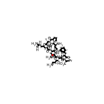 CSCC[C@H](N)C(=O)N1CCC[C@H]1C(=O)N[C@@H](C)C(=O)N[C@@H](CCCNC(=N)N)C(=O)N[C@@H](CC(N)=O)C(=O)N[C@@H](CO)C(=O)N[C@@H](CCCCN)C(=O)N[C@@H](Cc1ccccc1)C(=O)N[C@H](C(=O)O)C(C)C